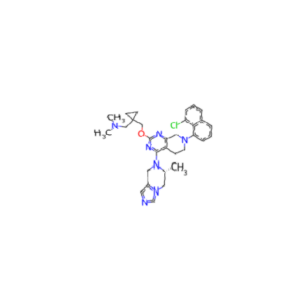 C[C@@H]1Cn2cncc2CN1c1nc(OCC2(CN(C)C)CC2)nc2c1CCN(c1cccc3cccc(Cl)c13)C2